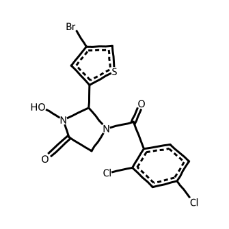 O=C1CN(C(=O)c2ccc(Cl)cc2Cl)C(c2cc(Br)cs2)N1O